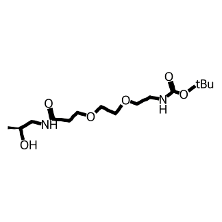 C[C@H](O)CNC(=O)CCOCCOCCNC(=O)OC(C)(C)C